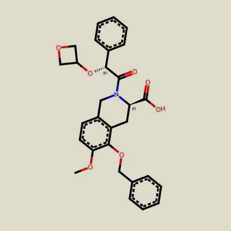 COc1ccc2c(c1OCc1ccccc1)C[C@H](C(=O)O)N(C(=O)[C@H](OC1COC1)c1ccccc1)C2